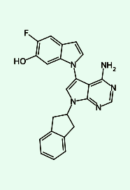 Nc1ncnc2c1c(-n1ccc3cc(F)c(O)cc31)cn2C1Cc2ccccc2C1